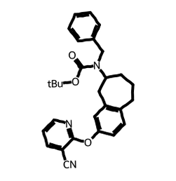 CC(C)(C)OC(=O)N(Cc1ccccc1)C1CCCc2ccc(Oc3ncccc3C#N)cc2C1